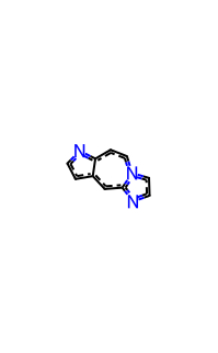 c1cc2cc3nccn3ccc-2n1